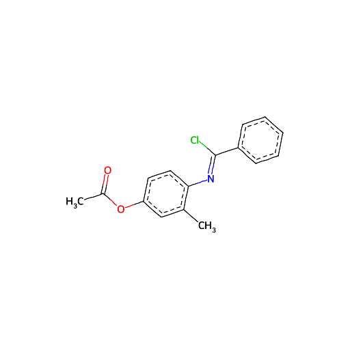 CC(=O)Oc1ccc(N=C(Cl)c2ccccc2)c(C)c1